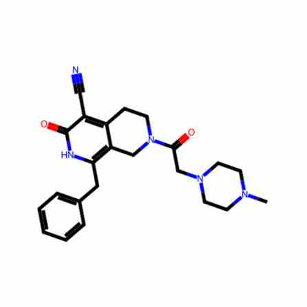 CN1CCN(CC(=O)N2CCc3c(c(Cc4ccccc4)[nH]c(=O)c3C#N)C2)CC1